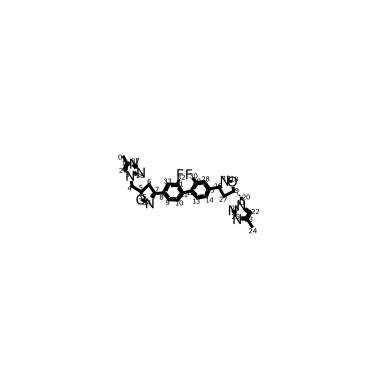 Cc1cn(CC2CC(c3ccc(-c4ccc(C5=NO[C@H](Cn6cc(C)nn6)C5)cc4F)c(F)c3)=NO2)nn1